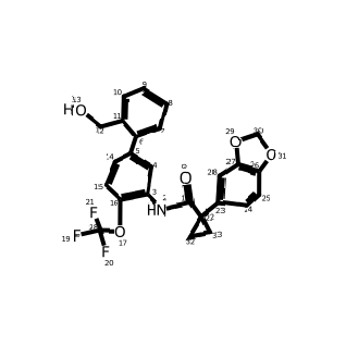 O=C(Nc1cc(-c2ccccc2CO)ccc1OC(F)(F)F)C1(c2ccc3c(c2)OCO3)CC1